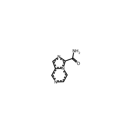 NC(=O)c1ncc2cnccn12